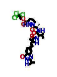 CC(C)c1nc2cc(/C=C/C(C)(C)C(=O)N[C@H](C(=O)N[C@@H](C)C(=O)N3CCC[C@@H](C(=O)OCC(Cl)(Cl)Cl)N3)C(C)C)ccc2c(=O)[nH]1